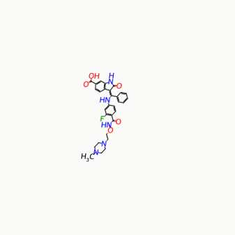 CN1CCN(CCONC(=O)c2ccc(NC(=C3C(=O)Nc4cc(C(=O)O)ccc43)c3ccccc3)cc2F)CC1